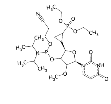 CCOP(=O)(OCC)C1CC1[C@H]1O[C@@H](n2ccc(=O)[nH]c2=O)C(OC)C1OP(OCCC#N)N(C(C)C)C(C)C